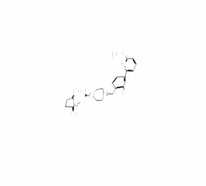 Cc1cccc(-c2ccc(CN3CCN(C(=O)ON4C(=O)CCC4=O)CC3)c(F)c2)n1